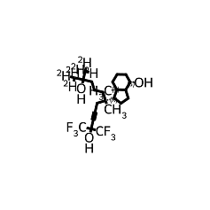 [2H]C([2H])([2H])C(O)(CCCC(C)(CC#CC(O)(C(F)(F)F)C(F)(F)F)[C@H]1CCC2[C@@H](O)CCC[C@@]21C)C([2H])([2H])[2H]